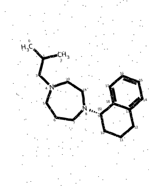 CC(C)CN1CCCN([C@H]2CCCc3ccccc32)CC1